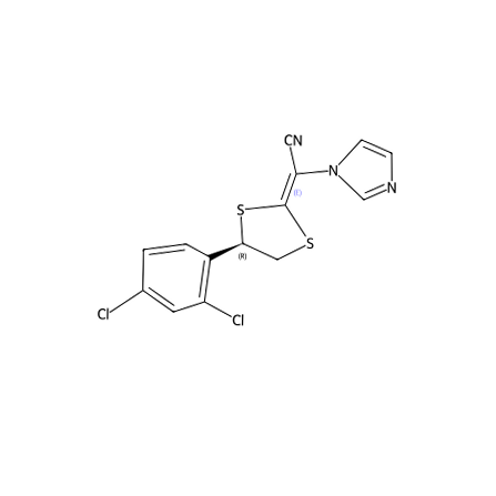 N#C/C(=C1/SC[C@@H](c2ccc(Cl)cc2Cl)S1)n1ccnc1